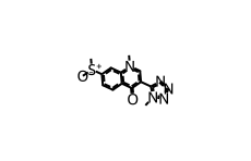 Cn1nnnc1-c1cn(C)c2cc([S+](C)[O-])ccc2c1=O